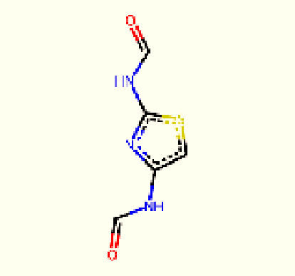 O=CNc1csc(NC=O)n1